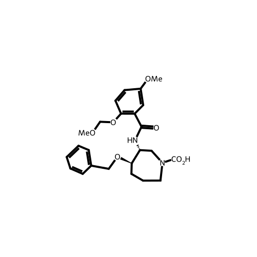 COCOc1ccc(OC)cc1C(=O)N[C@@H]1CN(C(=O)O)CCC[C@H]1OCc1ccccc1